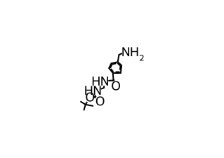 CC(C)(C)OC(=O)NCNC(=O)c1ccc(CN)cc1